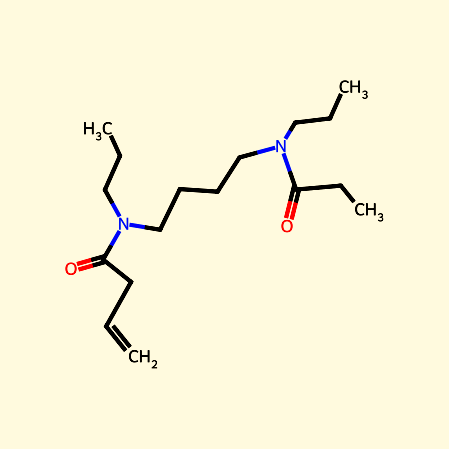 C=CCC(=O)N(CCC)CCCCN(CCC)C(=O)CC